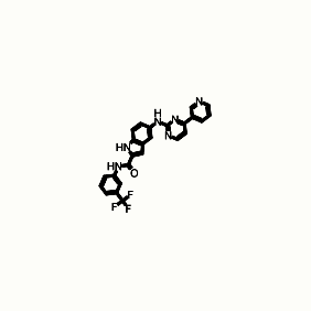 O=C(Nc1cccc(C(F)(F)F)c1)c1cc2cc(Nc3nccc(-c4cccnc4)n3)ccc2[nH]1